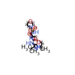 CC(C)c1nn2c(c1Nc1nc(C(=O)NS(=O)(=O)N3CCCOCC3)co1)OCCC2C